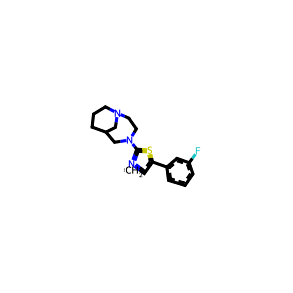 Fc1cccc(-c2cnc(N3CCN4CCCC(C4)C3)s2)c1.[CH2]